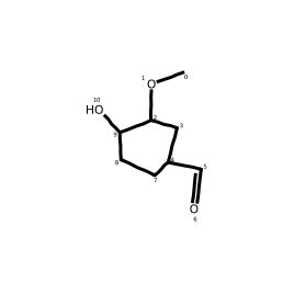 COC1CC(C=O)CCC1O